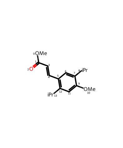 COC(=O)C=Cc1cc(C(C)C)c(OC)cc1C(C)C